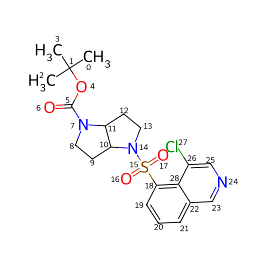 CC(C)(C)OC(=O)N1CCC2C1CCN2S(=O)(=O)c1cccc2cncc(Cl)c12